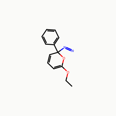 CCOC1=CC=CC(N=[N])(c2ccccc2)O1